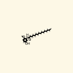 CCCCCCCCCCCCCCCC(=O)Nc1cc(O)ccc1OC